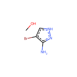 CO.Nc1n[nH]cc1Br